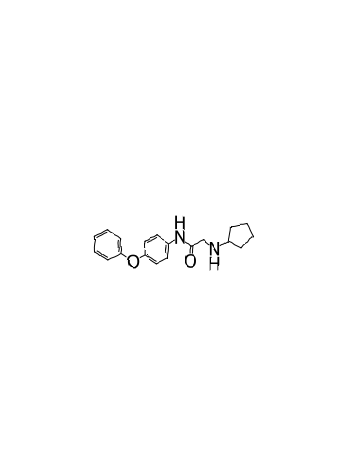 O=C(CNC1CCCC1)Nc1ccc(Oc2ccccc2)cc1